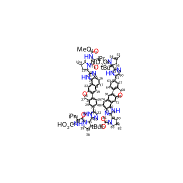 COC(=O)NC(C(=O)N1CC(C)CC1c1nc2ccc3cc4c(cc3c2[nH]1)OCc1cc(-c2cnc(C3C[C@H](C)CN3C(=O)[C@@H](NC(=O)O)C(C)C)[nH]2)ccc1-4)C(C)C.C[C@@H]1CN(C(=O)O)[C@](c2ncc(-c3ccc4c(c3)COc3cc5c(ccc6nc([C@@H]7C[C@H](C)CN7C(=O)OC(C)(C)C)[nH]c65)cc3-4)[nH]2)(C(C)(C)C)C1